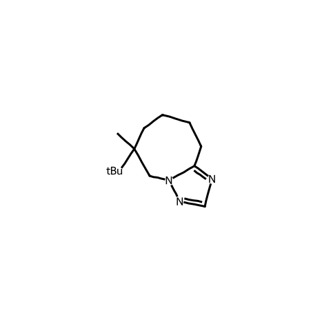 CC(C)(C)C1(C)CCCCc2ncnn2C1